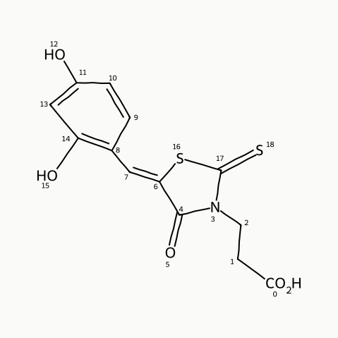 O=C(O)CCN1C(=O)/C(=C/c2ccc(O)cc2O)SC1=S